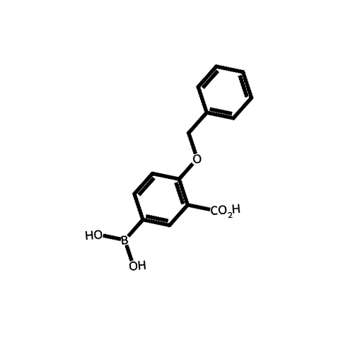 O=C(O)c1cc(B(O)O)ccc1OCc1ccccc1